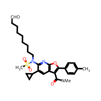 CNC(=O)c1c(-c2ccc(C)cc2)oc2nc(N(CCCCCCCCC=O)S(C)(=O)=O)c(C3CC3)cc12